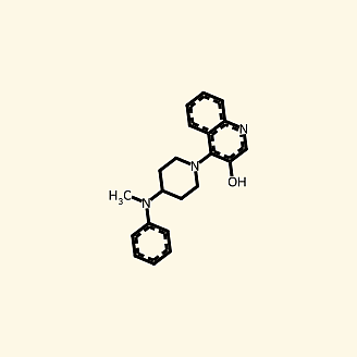 CN(c1ccccc1)C1CCN(c2c(O)cnc3ccccc23)CC1